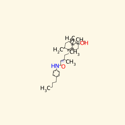 C=C1CC[C@@H]2C(C)(C)[C@H](O)CC[C@@]2(C)[C@@H]1CC/C(C)=C/C(=O)Nc1ccc(CCCC)cc1